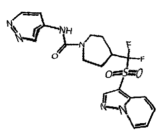 O=C(Nc1ccnnc1)N1CCC(C(F)(F)S(=O)(=O)c2cnn3ccccc23)CC1